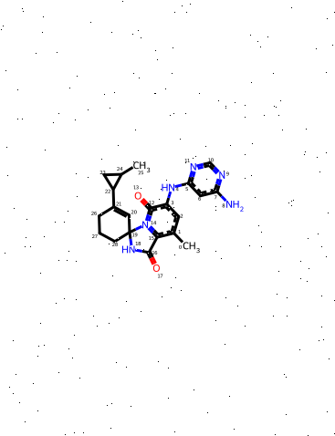 Cc1cc(Nc2cc(N)ncn2)c(=O)n2c1C(=O)NC21C=C(C2CC2C)CCC1